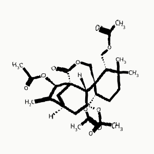 C=C1[C@@H]2C[C@@H](OC(C)=O)[C@@H]3[C@](C2)(C(=O)OC[C@@]32[C@@H](OC(C)=O)CCC(C)(C)[C@H]2COC(C)=O)[C@@H]1OC(C)=O